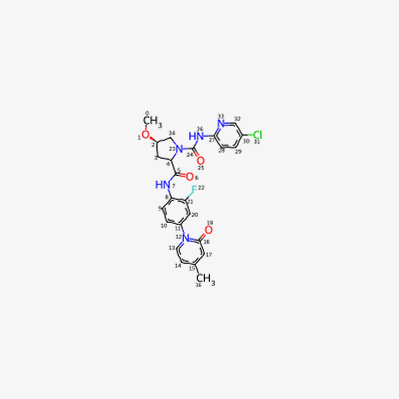 CO[C@@H]1CC(C(=O)Nc2ccc(-n3ccc(C)cc3=O)cc2F)N(C(=O)Nc2ccc(Cl)cn2)C1